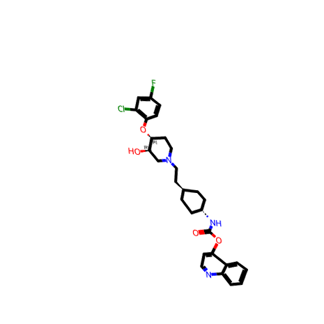 O=C(N[C@H]1CC[C@H](CCN2CC[C@@H](Oc3ccc(F)cc3Cl)[C@H](O)C2)CC1)Oc1ccnc2ccccc12